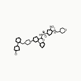 O=C(NS(=O)(=O)c1ccc(NCC2CCOCC2)c([N+](=O)[O-])c1)c1ccc(N2CCN(Cc3ccccc3-c3ccc(Cl)cc3)CC2)cc1-c1ccccc1